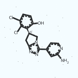 Nc1cc(-c2nnc3n2C[C@H](c2c(O)ccc(Cl)c2Cl)C3)ccn1